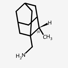 C[C@H]1C2CC3CC(C2)CC1(CN)C3